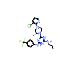 CCCNc1nc(Nc2ccc(C(F)(F)F)cc2)nc(N2CCN(c3ncccc3Cl)C[C@H]2C)n1